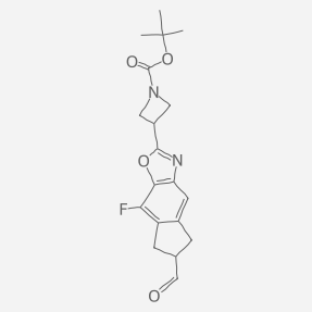 CC(C)(C)OC(=O)N1CC(c2nc3cc4c(c(F)c3o2)CC(C=O)C4)C1